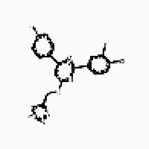 Fc1ccc(-c2cc(OCc3nn[nH]n3)nc(-c3ccc(Cl)c(F)c3)n2)cc1